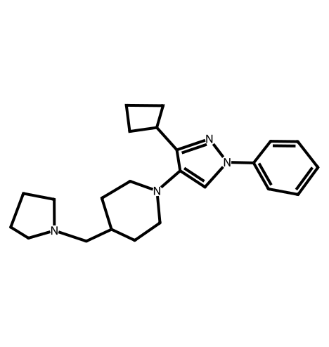 c1ccc(-n2cc(N3CCC(CN4CCCC4)CC3)c(C3CCC3)n2)cc1